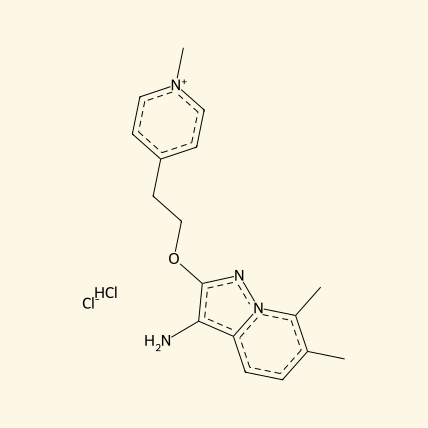 Cc1ccc2c(N)c(OCCc3cc[n+](C)cc3)nn2c1C.Cl.[Cl-]